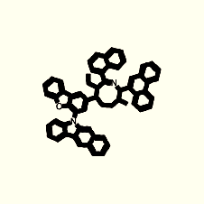 CCC1/C(c2cccc3ccccc23)=N\C(c2cc3ccccc3c3ccccc23)C(C)CCC1c1cc(-n2c3ccccc3c3cc4ccccc4cc32)c2oc3ccccc3c2c1